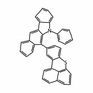 c1ccc(-n2c3ccccc3c3cc4ccccc4c(-c4ccc5c(c4)-c4cccc6cccc(c46)S5)c32)cc1